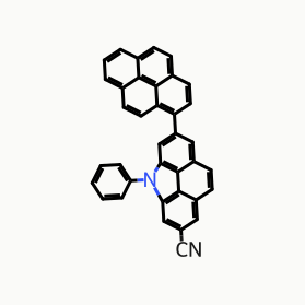 N#Cc1cc2ccc3cc(-c4ccc5ccc6cccc7ccc4c5c67)cc4c3c2c(c1)n4-c1ccccc1